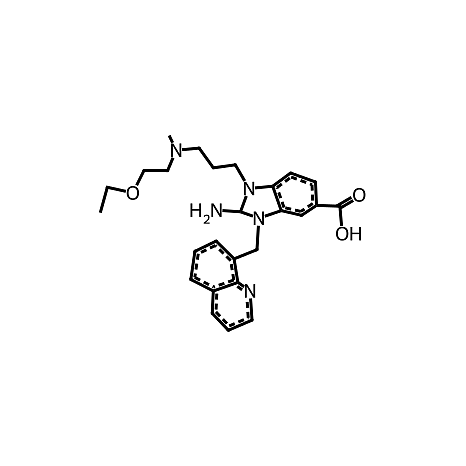 CCOCCN(C)CCCN1c2ccc(C(=O)O)cc2N(Cc2cccc3cccnc23)C1N